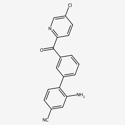 N#Cc1ccc(-c2cccc(C(=O)c3ccc(Cl)cn3)c2)c(N)c1